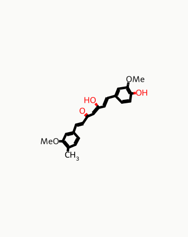 COc1cc(/C=C/C(=O)/C=C(O)/C=C/c2ccc(O)c(OC)c2)ccc1C